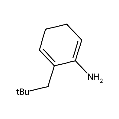 CC(C)(C)CC1=CCCC=C1N